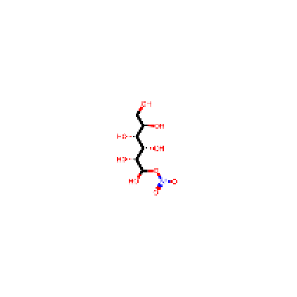 O=[N+]([O-])OC(O)[C@H](O)[C@@H](O)[C@H](O)[C@H](O)CO